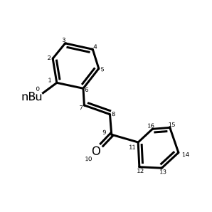 CCCCc1ccccc1C=CC(=O)c1ccccc1